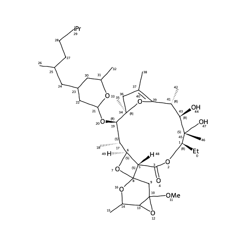 CC[C@H]1OC(=O)[C@H]2[C@@H](OC23CC2(OC)OC2C(C)O3)[C@H](C)[C@@H](OC2CC(CC(C)CCC(C)C)CC(C)O2)[C@@]2(C)CC(C)=C(O2)[C@H](C)[C@@H](O)[C@]1(C)O